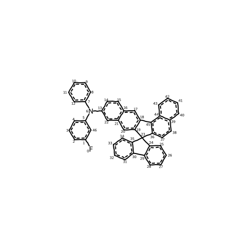 Fc1cccc(N(c2ccccc2)c2ccc3cc4c(cc3c2)C2(c3ccccc3-c3ccccc32)c2ccc3ccccc3c2-4)c1